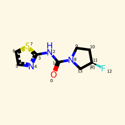 O=C(Nc1nccs1)N1CC[C@@H](F)C1